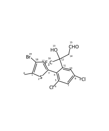 Cc1sc(-c2c(Cl)cc(Cl)cc2C(O)(CC=O)C(F)(F)F)cc1Br